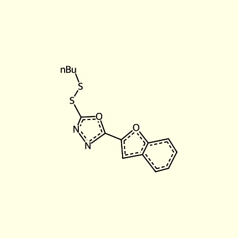 CCCCSSc1nnc(-c2cc3ccccc3o2)o1